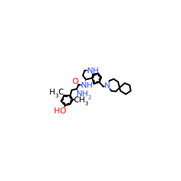 Cc1cc(O)cc(C)c1C[C@H](N)C(=O)N[C@@H]1CCNc2ccc(CN3CCCC4(CCCCC4)CC3)cc21